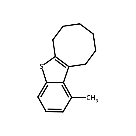 Cc1cccc2sc3c(c12)CCCCCC3